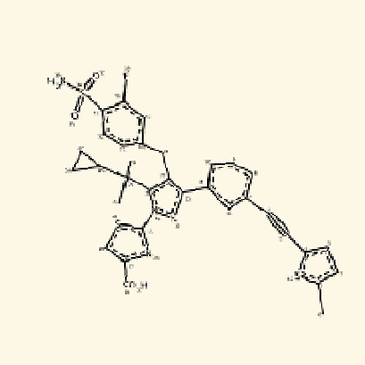 Cc1ccc(C#Cc2cccc(-c3nn(-c4nc(C(=O)O)cs4)c(C(C)(C)C4CC4)c3Cc3ccc(S(N)(=O)=O)c(F)c3)c2)s1